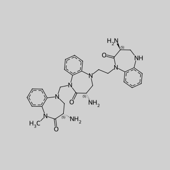 CN1C(=O)[C@@H](N)CN(CN2C(=O)[C@@H](N)CN(CCN3C(=O)[C@@H](N)CNc4ccccc43)c3ccccc32)c2ccccc21